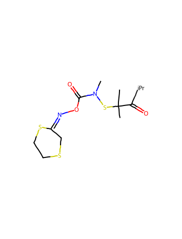 CC(C)C(=O)C(C)(C)SN(C)C(=O)ON=C1CSCCS1